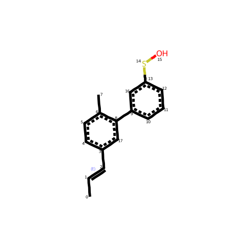 C/C=C/c1ccc(C)c(-c2cccc(SO)c2)c1